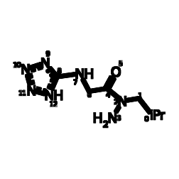 CC(C)CN(N)C(=O)CNc1nnn[nH]1